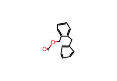 O=[C]OCc1ccccc1Cc1ccccc1